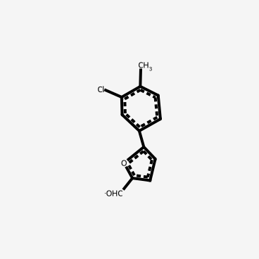 Cc1ccc(-c2ccc([C]=O)o2)cc1Cl